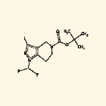 CC(C)(C)OC(=O)N1CCc2c(c(I)nn2C(F)F)C1